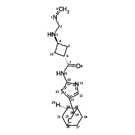 C=NCN[C@H]1C[C@H](C(=O)Nc2ncc([C@@H]3CC4CCC3CC4)s2)C1